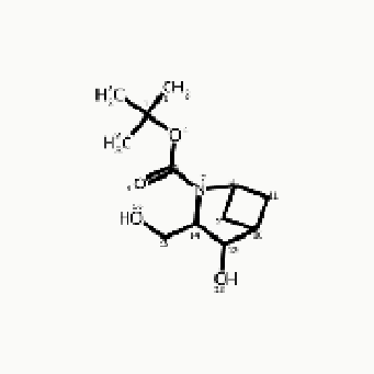 CC(C)(C)OC(=O)N1C2CC(C2)C(O)C1CO